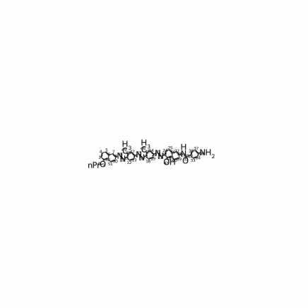 CCCOc1cccc2cc(N=Nc3ccc(N=Nc4ccc(N=Nc5ccc6cc(NC(=O)c7ccc(N)cc7)ccc6c5O)cc4C)cc3C)ccc12